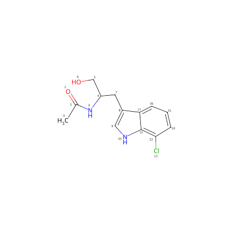 CC(=O)NC(CO)Cc1c[nH]c2c(Cl)cccc12